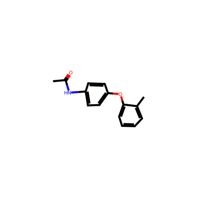 CC(=O)Nc1ccc(Oc2ccccc2C)cc1